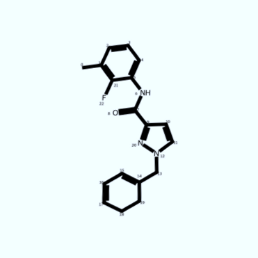 Cc1cccc(NC(=O)c2ccn(CC3=CC=CCC3)n2)c1F